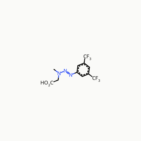 CN(CC(=O)O)/N=N/c1cc(C(F)(F)F)cc(C(F)(F)F)c1